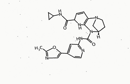 Cc1ncc(-c2ccnc(NC(=O)N3C4=C(C=CC(C(=O)NC5CC5)N4)N4CC[C@H]3C4)c2)o1